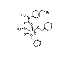 CC(C)CC1=CC=C([C@H](C)C(=O)O[C@H](C)[C@H](NC(=O)OCC2=CC=CCC2)C(=O)OCc2ccccc2)CC1